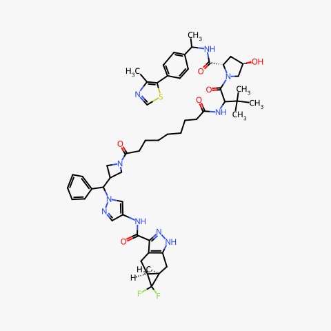 Cc1ncsc1-c1ccc(C(C)NC(=O)[C@@H]2C[C@@H](O)CN2C(=O)C(NC(=O)CCCCCCCC(=O)N2CC(C(c3ccccc3)n3cc(NC(=O)c4n[nH]c5c4C[C@@H]4C(F)(F)[C@]4(C)C5)cn3)C2)C(C)(C)C)cc1